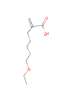 C=C(CCCCCOCC)C(=O)O